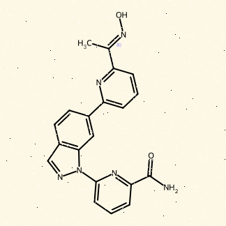 C/C(=N\O)c1cccc(-c2ccc3cnn(-c4cccc(C(N)=O)n4)c3c2)n1